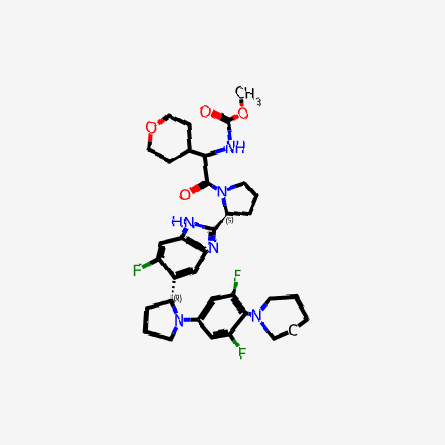 COC(=O)NC(C(=O)N1CCC[C@H]1c1nc2cc([C@H]3CCCN3c3cc(F)c(N4CCCCC4)c(F)c3)c(F)cc2[nH]1)C1CCOCC1